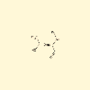 C=CC(=O)NC(C)C.O=C(O)CO